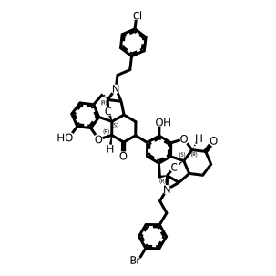 O=C1C(c2cc3c4c(c2O)O[C@H]2C(=O)CCC5C6N(CCc7ccc(Br)cc7)[C@]6(C3)C[C@@]452)CC2C3N(CCc4ccc(Cl)cc4)[C@@]34Cc3ccc(O)c5c3[C@@]2(C4)[C@H]1O5